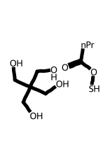 CCCC(=O)OS.OCC(CO)(CO)CO